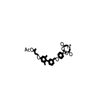 CC(=O)O[C@H](C)CCOc1cc(C)c(-c2cccc(COc3ccc(B4OC(=O)CN(C)CC(=O)O4)cc3)c2)c(C)c1